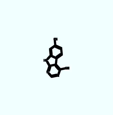 N#Cc1ccc2c(c1)[nH]c1ncnc(O)c12